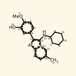 COc1ccc(-c2nc3ccc(C)cn3c2NC2CCCCC2)cc1O